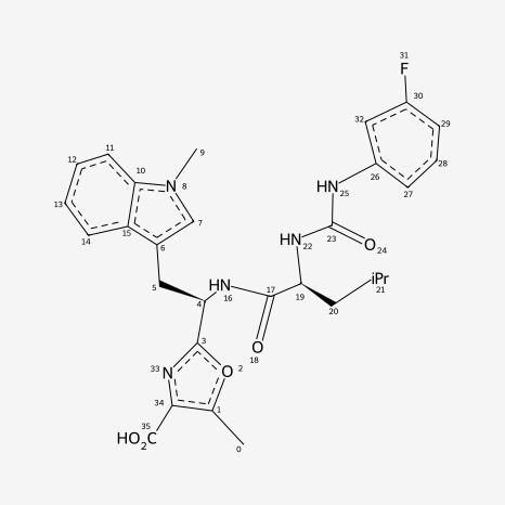 Cc1oc([C@@H](Cc2cn(C)c3ccccc23)NC(=O)[C@H](CC(C)C)NC(=O)Nc2cccc(F)c2)nc1C(=O)O